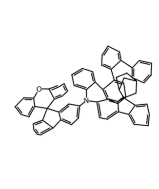 c1ccc(-c2ccccc2-c2ccccc2-c2ccccc2N(c2ccc3c(c2)C2(c4ccccc4Oc4ccccc42)c2ccccc2-3)c2ccc3c(c2)C2(CC4CCC2C4)c2ccccc2-3)cc1